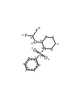 O=S(=O)(c1ccccc1)N1CCCCC1OC(F)F